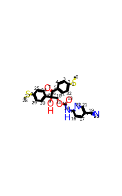 CSc1ccc(C(=O)C(O)(COC(=O)Nc2ccc(C#N)cn2)c2ccc(SC)cc2)cc1